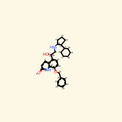 O=c1ccc2c([C@@H](O)CNC3CCCC3C3CCCCC3)ccc(OCc3ccccc3)c2[nH]1